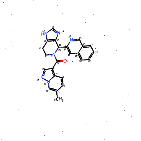 Cc1ccc2c(C(=O)N3CCc4[nH]cnc4[C@H]3c3cc4ccccc4cn3)cnn2c1